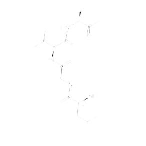 CC[C@H](C)[C@H](N)C(=O)NCC(=O)N[C@H](C(=O)N[C@@H](C)C(=O)O)C(C)C